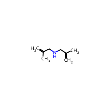 C=C(C)CNCC(=C)C